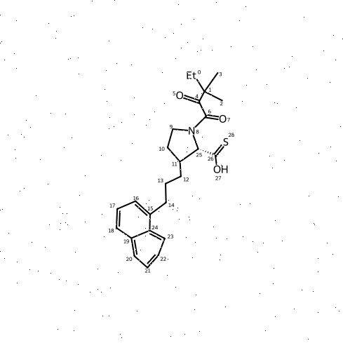 CCC(C)(C)C(=O)C(=O)N1CCC(CCCc2cccc3ccccc23)[C@H]1C(O)=S